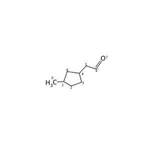 CC1CCC(C[C]=O)C1